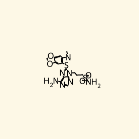 CN(C)c1cc2c(cc1Sc1nc3c(N)ncnc3n1CCCS(N)(=O)=O)OCO2